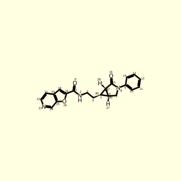 O=C(NCC[C@@H]1[C@H]2CN(c3ccccc3)C(=O)[C@@H]12)c1cc2ccncc2o1